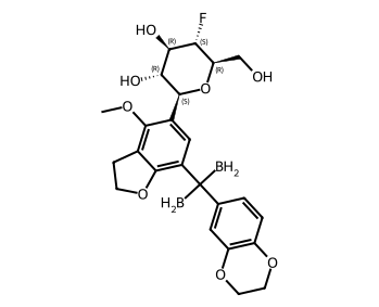 BC(B)(c1ccc2c(c1)OCCO2)c1cc([C@@H]2O[C@H](CO)[C@@H](F)[C@H](O)[C@H]2O)c(OC)c2c1OCC2